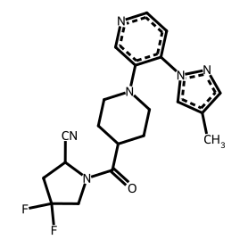 Cc1cnn(-c2ccncc2N2CCC(C(=O)N3CC(F)(F)CC3C#N)CC2)c1